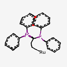 [Ru][CH2]C(P(c1ccccc1)c1ccccc1)P(c1ccccc1)c1ccccc1